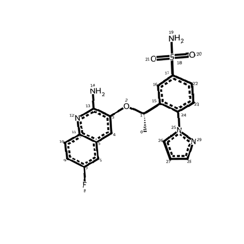 C[C@H](Oc1cc2cc(F)ccc2nc1N)c1cc(S(N)(=O)=O)ccc1-n1cccn1